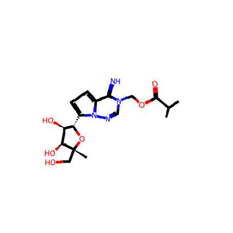 CC(C)C(=O)OCn1cnn2c([C@@H]3O[C@](C)(CO)[C@@H](O)[C@H]3O)ccc2c1=N